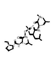 CCN1CCC[C@H]1C(=O)N[C@@H](CC(C)C)C(=O)NOP(C)(=O)CC(CC(C)C)C(=O)N[C@@H](CC(C)C)C(=O)NC